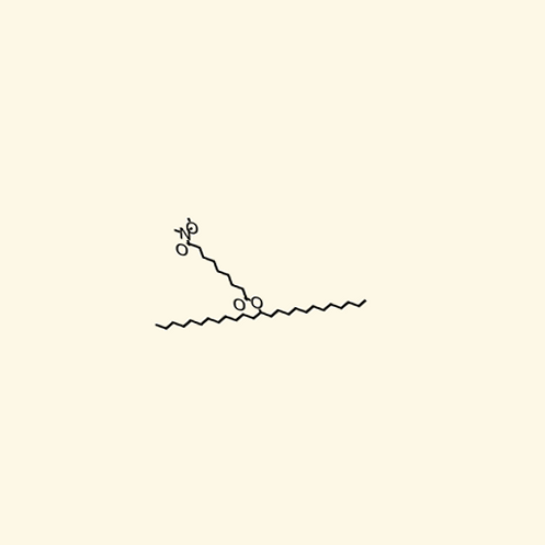 CCCCCCCCCCCCC(CCCCCCCCCCCC)OC(=O)CCCCCCCC(=O)N(C)OC